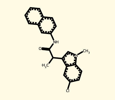 [CH2]C(C(=O)Nc1ccc2ccccc2c1)c1cn(C)c2ccc(Cl)cc12